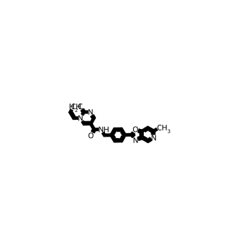 C=C1N=CC(C(=O)NCc2ccc(-c3nc4cnc(C)cc4o3)cc2)=CN1/C=C\C